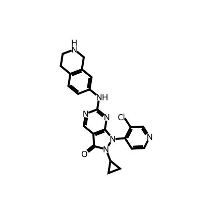 O=c1c2cnc(Nc3ccc4c(c3)CNCC4)nc2n(-c2ccncc2Cl)n1C1CC1